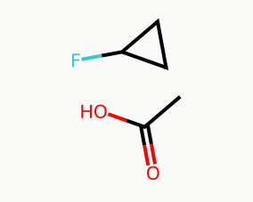 CC(=O)O.FC1CC1